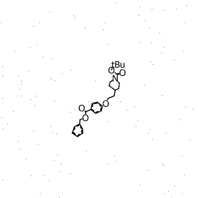 CC(C)(C)OC(=O)N1CCC(CCOc2ccc(C(=O)OCc3ccccc3)cc2)CC1